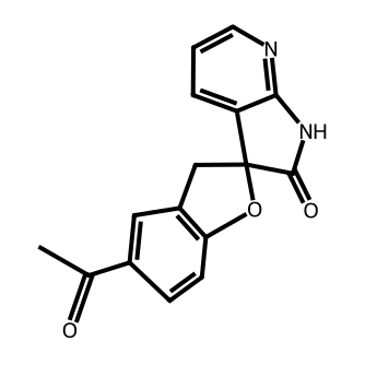 CC(=O)c1ccc2c(c1)CC1(O2)C(=O)Nc2ncccc21